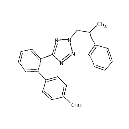 CC(Cn1nnc(-c2ccccc2-c2ccc(C=O)cc2)n1)c1ccccc1